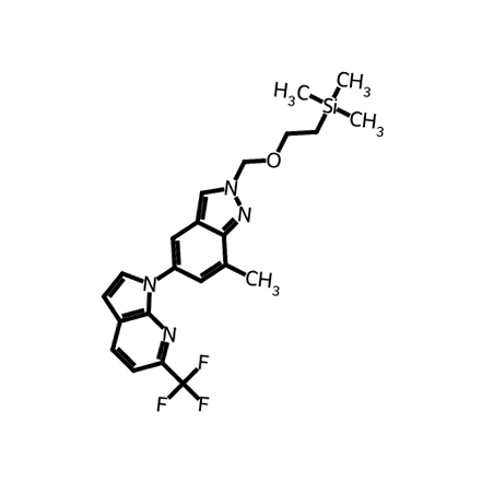 Cc1cc(-n2ccc3ccc(C(F)(F)F)nc32)cc2cn(COCC[Si](C)(C)C)nc12